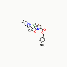 CC(=O)OC(c1cc2n(n1)CC(C)(C)C2)C1(Br)C(=O)N2C(C(=O)OCc3ccc([N+](=O)[O-])cc3)=CS[C@@H]21